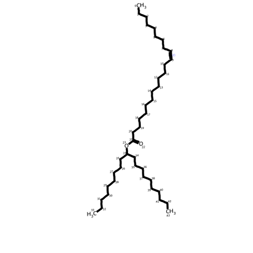 CCCCCCCC/C=C\CCCCCCCCCCCC(=O)OC(CCCCCCCCC)CCCCCCCCCC